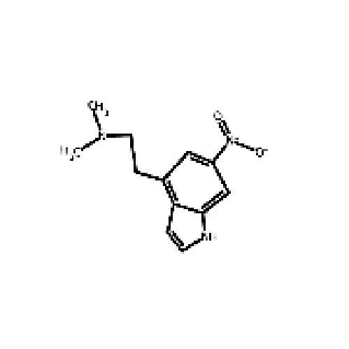 CN(C)CCc1cc([N+](=O)[O-])cc2[nH]ccc12